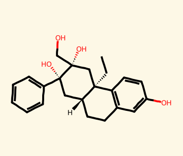 CC[C@@]12C[C@](O)(CO)[C@](O)(c3ccccc3)C[C@H]1CCc1cc(O)ccc12